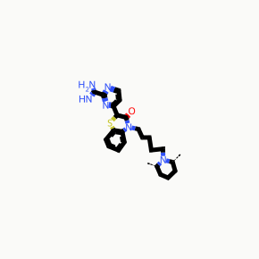 C[C@@H]1CCC[C@H](C)N1CCCCCN1C(=O)C(c2ccnc(C(=N)N)n2)Sc2ccccc21